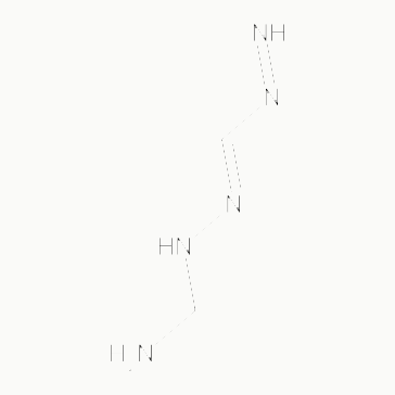 N=NC=NNCN